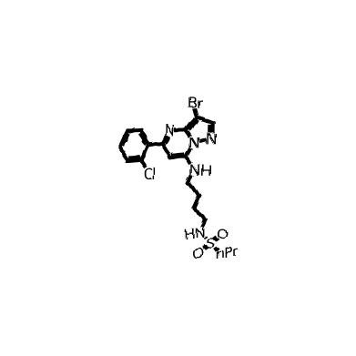 CCCS(=O)(=O)NCCCCNc1cc(-c2ccccc2Cl)nc2c(Br)cnn12